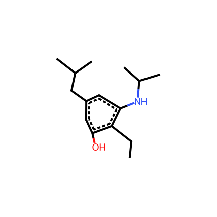 CCc1c(O)cc(CC(C)C)cc1NC(C)C